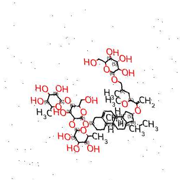 C=C(O[C@H]1C[C@H]2[C@@H]3CC=C4C[C@@H](O[C@@H]5OC(CO)[C@@H](O[C@@H]6OC(C)[C@H](O)C(O)[C@H]6O)[C@H](O)C5O[C@@H]5OC(C)[C@H](O)C(O)[C@@H]5O)CC[C@]4(C)[C@H]3CC[C@]2(C)[C@H]1CC)[C@H](C[C@@H](C)CO[C@@H]1OC(CO)[C@@H](O)[C@H](O)C1O)OC